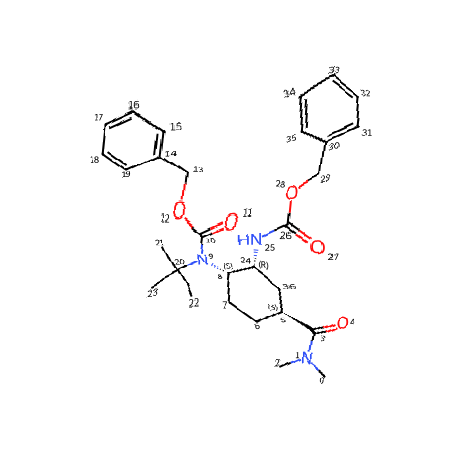 CN(C)C(=O)[C@H]1CC[C@H](N(C(=O)OCc2ccccc2)C(C)(C)C)[C@H](NC(=O)OCc2ccccc2)C1